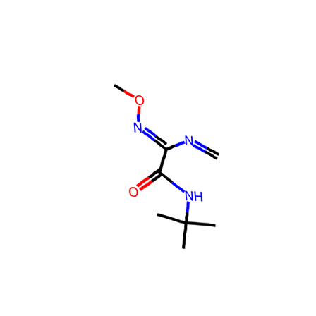 C=N/C(=N\OC)C(=O)NC(C)(C)C